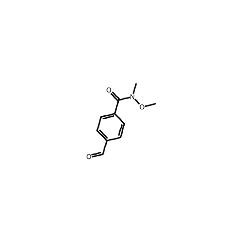 CON(C)C(=O)c1ccc(C=O)cc1